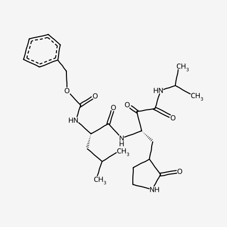 CC(C)C[C@H](NC(=O)OCc1ccccc1)C(=O)N[C@@H](CC1CCNC1=O)C(=O)C(=O)NC(C)C